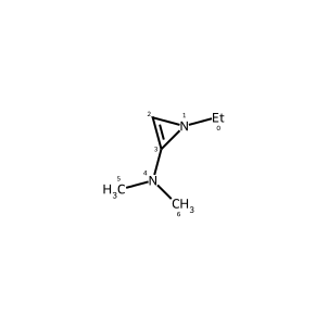 CCN1C=C1N(C)C